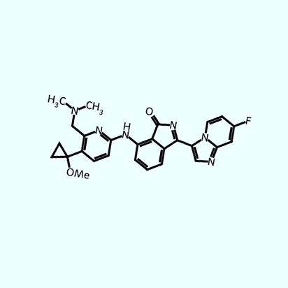 COC1(c2ccc(Nc3cccc4c3C(=O)N=C4c3cnc4cc(F)ccn34)nc2CN(C)C)CC1